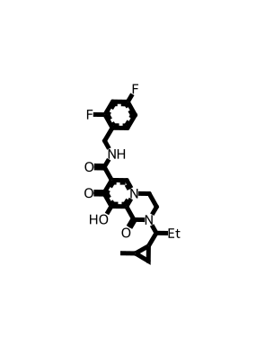 CCC(C1CC1C)N1CCn2cc(C(=O)NCc3ccc(F)cc3F)c(=O)c(O)c2C1=O